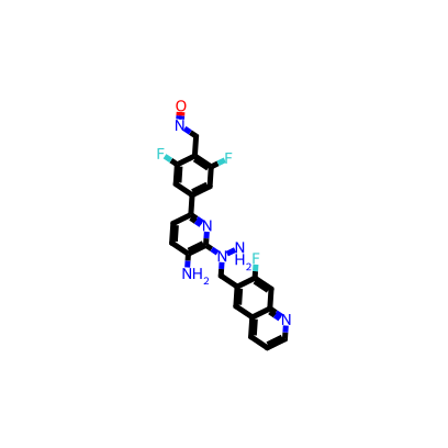 Nc1ccc(-c2cc(F)c(CN=O)c(F)c2)nc1N(N)Cc1cc2cccnc2cc1F